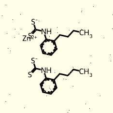 CCCCc1ccccc1NC(=S)[S-].CCCCc1ccccc1NC(=S)[S-].[Zn+2]